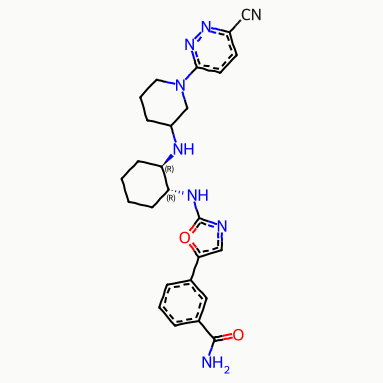 N#Cc1ccc(N2CCCC(N[C@@H]3CCCC[C@H]3Nc3ncc(-c4cccc(C(N)=O)c4)o3)C2)nn1